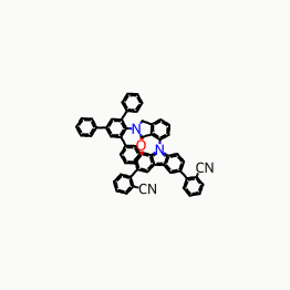 N#Cc1ccccc1-c1ccc2c(c1)c1cc(-c3ccccc3C#N)ccc1n2-c1cccc2c1C(=O)N(c1c(-c3ccccc3)cc(-c3ccccc3)cc1-c1ccccc1)C2